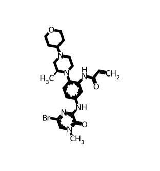 C=CC(=O)Nc1cc(Nc2nc(Br)cn(C)c2=O)ccc1N1CCN(C2CCOCC2)C[C@@H]1C